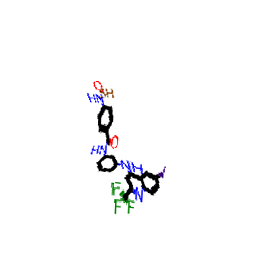 O=[SH]Nc1ccc(C(=O)N[C@@H]2CCC[C@H](Nc3cc(C(F)(F)F)nc4ccc(I)cc34)C2)cc1